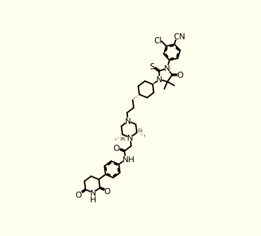 C[C@@H]1CN(CCC[C@H]2CC[C@H](N3C(=S)N(c4ccc(C#N)c(Cl)c4)C(=O)C3(C)C)CC2)C[C@H](C)N1CC(=O)Nc1ccc(C2CCC(=O)NC2=O)cc1